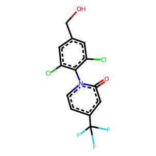 O=c1cc(C(F)(F)F)ccn1-c1c(Cl)cc(CO)cc1Cl